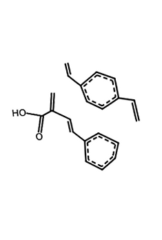 C=C(C=Cc1ccccc1)C(=O)O.C=Cc1ccc(C=C)cc1